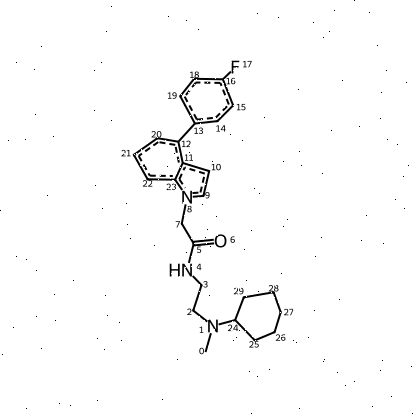 CN(CCNC(=O)Cn1ccc2c(-c3ccc(F)cc3)cccc21)C1CCCCC1